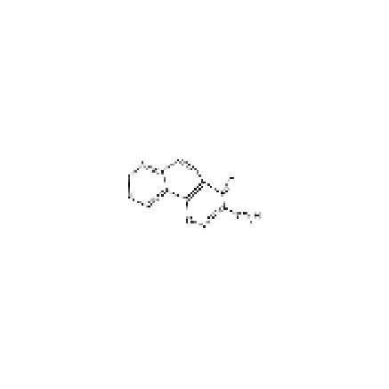 O=C(O)c1noc2c(ccc3ncccc32)c1=O